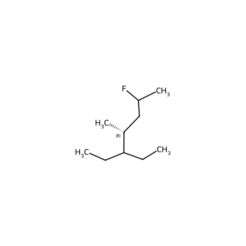 CCC(CC)[C@H](C)CC(C)F